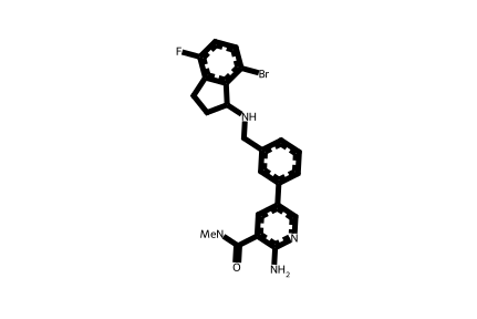 CNC(=O)c1cc(-c2cccc(CNC3CCc4c(F)ccc(Br)c43)c2)cnc1N